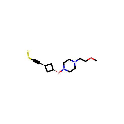 COCCN1CCN(O[C@H]2C[C@H](C#CSS)C2)CC1